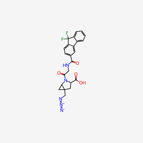 [N-]=[N+]=NCC12CC(C(=O)O)N(C(=O)CNC(=O)c3ccc4c(c3)-c3ccccc3C4(F)F)C1C2